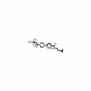 O=C(NCCC1CC1)c1ccc(N2CCN(C(=O)CC(O)(C(F)(F)F)C(F)(F)F)CC2)nn1